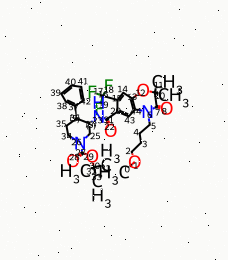 COCCCCN1C(=O)C(C)(C)Oc2cc(C(F)(F)F)c(C(=O)N[C@@H]3CN(C(=O)OC(C)(C)C)CC[C@H]3c3ccccc3)cc21